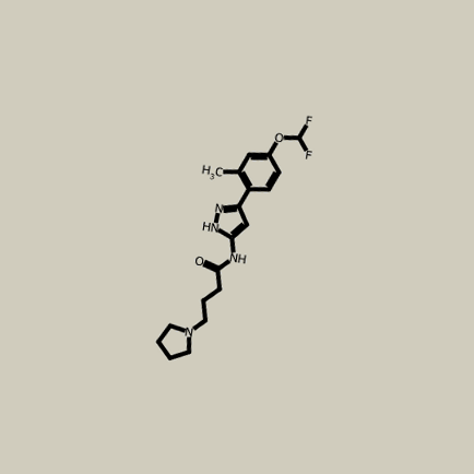 Cc1cc(OC(F)F)ccc1-c1cc(NC(=O)CCCN2CCCC2)[nH]n1